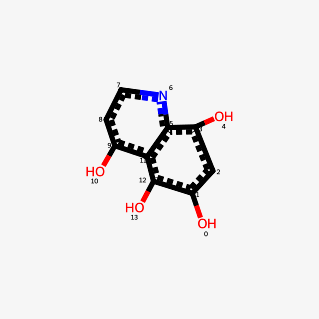 Oc1cc(O)c2nccc(O)c2c1O